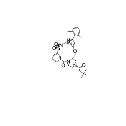 Cc1cccc(C)c1-c1cc2nc(n1)NS(=O)(=O)c1cccc(c1)C(=O)N1CCN(C(=O)CC(C)(C)C)CC1CO2